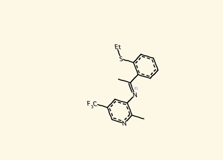 CCSc1ccccc1/C(C)=N/c1cc(C(F)(F)F)cnc1C